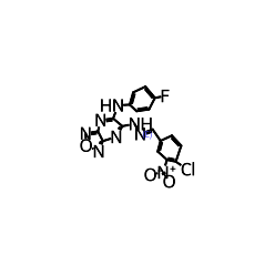 O=[N+]([O-])c1cc(/C=N/Nc2nc3nonc3nc2Nc2ccc(F)cc2)ccc1Cl